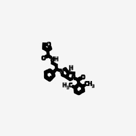 Cc1cccc(C)c1C(=O)N1CC2CN(C(CCNC(=O)c3ccoc3)c3ccccc3)C[C@H]2C1